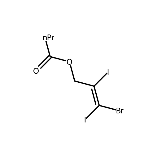 CCCC(=O)OCC(I)=C(Br)I